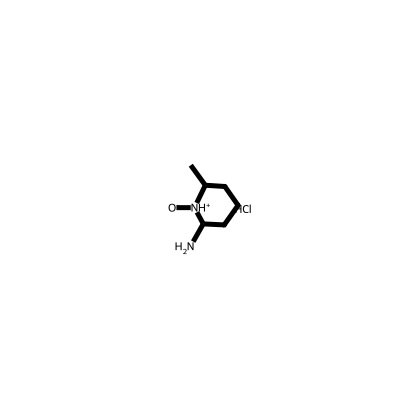 CC1CCCC(N)[NH+]1[O-].Cl